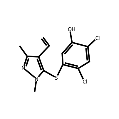 C=Cc1c(C)nn(C)c1Sc1cc(O)c(Cl)cc1Cl